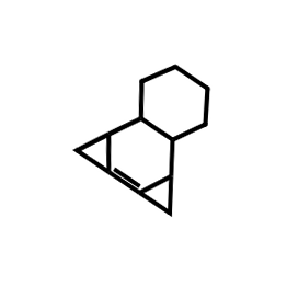 C1CCC2C3CC3=C3CC3C2C1